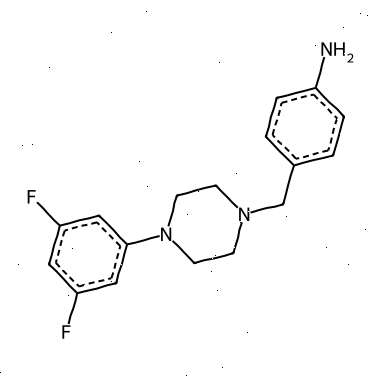 Nc1ccc(CN2CCN(c3cc(F)cc(F)c3)CC2)cc1